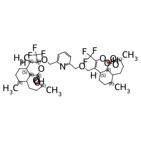 C[C@@H]1CC[C@H]2C(COCc3cccc(CO[C@@]4(C(F)(F)F)O[C@@H]5O[C@]6(C)CCC7[C@H](C)CC[C@@H]([C@H]4C)[C@]75OO6)n3)=C(C(F)(F)F)O[C@@H]3O[C@]4(C)CCC1[C@]32OO4